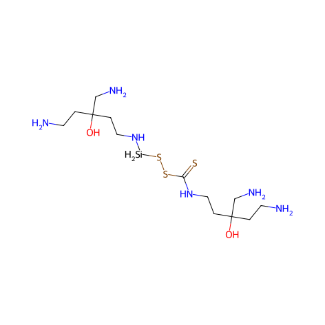 NCCC(O)(CN)CCN[SiH2]SSC(=S)NCCC(O)(CN)CCN